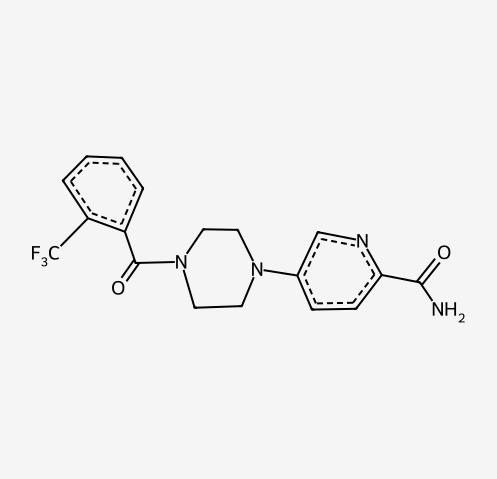 NC(=O)c1ccc(N2CCN(C(=O)c3ccccc3C(F)(F)F)CC2)cn1